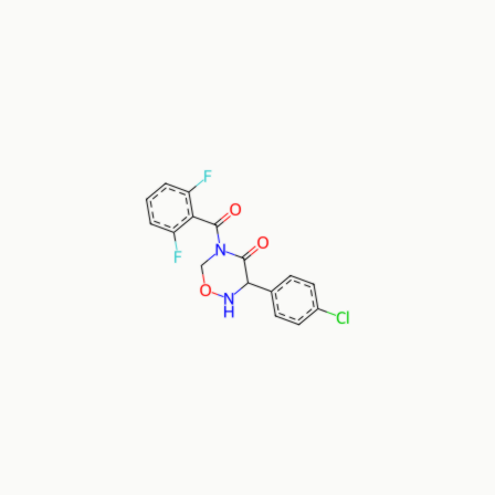 O=C(c1c(F)cccc1F)N1CONC(c2ccc(Cl)cc2)C1=O